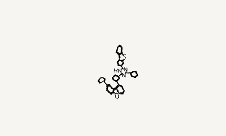 c1ccc(C2=NC(c3ccc4c(c3)sc3ccccc34)NC(c3cccc(-c4cccc5oc6ccc(-c7ccccc7)cc6c45)c3)=N2)cc1